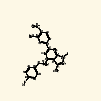 CCc1nn(C)c2nc(-c3ccc(C=O)c(Br)c3)nc(NCc3ccc(F)cc3)c12